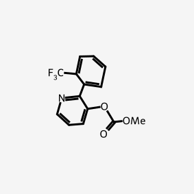 COC(=O)Oc1cccnc1-c1ccccc1C(F)(F)F